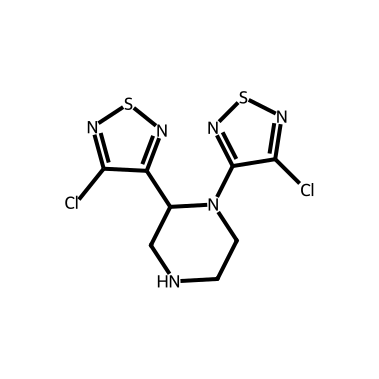 Clc1nsnc1C1CNCCN1c1nsnc1Cl